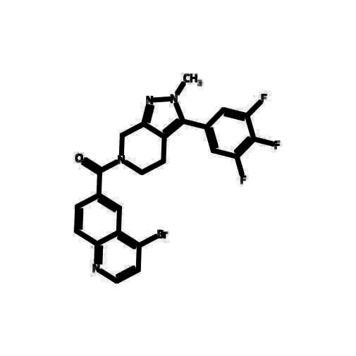 Cn1nc2c(c1-c1cc(F)c(F)c(F)c1)CCN(C(=O)c1ccc3nccc(Br)c3c1)C2